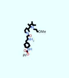 COCCCn1c(C)c(C)c(C)c1C1CCCN(C(=O)C[C@H](N)Cc2ccc(NC(=O)OC(C)C)cc2)C1